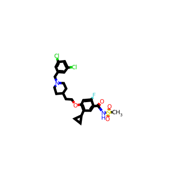 CS(=O)(=O)NC(=O)c1cc(C2CC2)c(OCCC2CCN(Cc3cc(Cl)cc(Cl)c3)CC2)cc1F